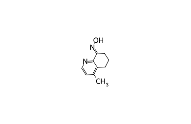 Cc1ccnc2c1CCCC2=NO